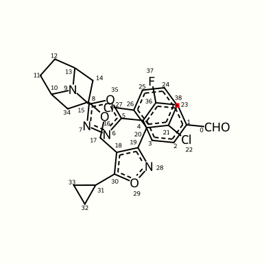 O=Cc1ccc(-c2nnc(N3C4CCC3CC(OCc3c(-c5c(Cl)cccc5Cl)noc3C3CC3)C4)o2)c(F)c1